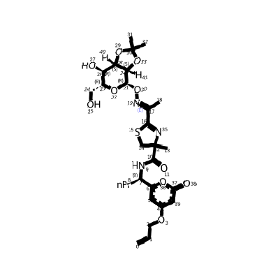 C=CCOc1cc([C@@H](CCC)NC(=O)C2(C)CSC(/C(C)=N/O[C@H]3O[C@H](CO)[C@@H](O)[C@@H]4OC(C)(C)O[C@H]34)=N2)oc(=O)c1